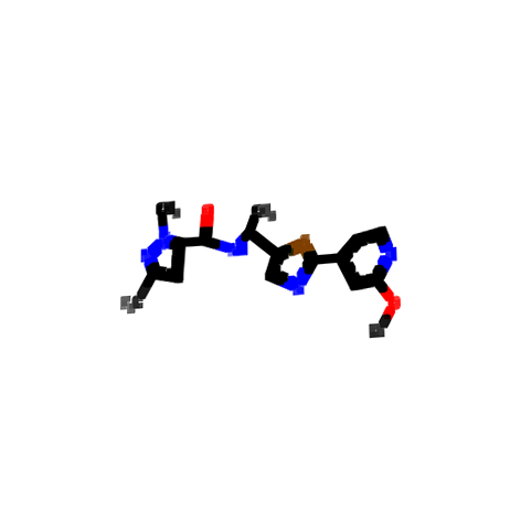 CCOc1cc(-c2ncc(C(C)NC(=O)c3cc(C(F)(F)F)nn3C)s2)ccn1